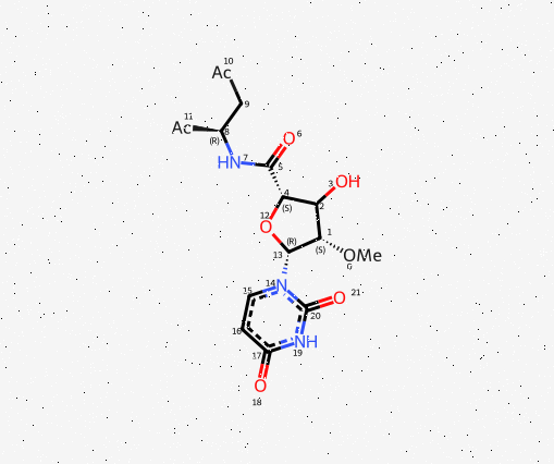 CO[C@H]1C(O)[C@@H](C(=O)N[C@H](CC(C)=O)C(C)=O)O[C@H]1n1ccc(=O)[nH]c1=O